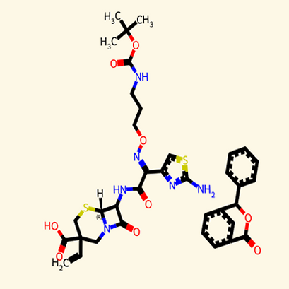 C=CC1(C(=O)O)CS[C@@H]2C(NC(=O)C(=NOCCCNC(=O)OC(C)(C)C)c3csc(N)n3)C(=O)N2C1.O=C1OC(c2ccccc2)c2cccc1c2